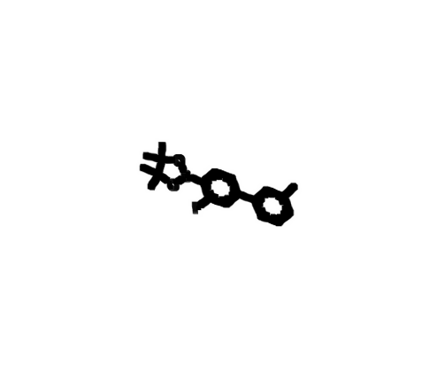 Cc1cccc(-c2ccc(B3OC(C)(C)C(C)(C)O3)c(F)c2)c1